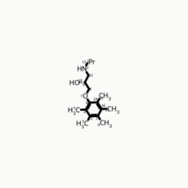 Cc1c(C)c(C)c(OC[C@H](O)CNC(C)C)c(C)c1C